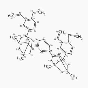 C=Cc1ccc(C23CC4(C)CC(C)(CC(c5cccc(C67CC8(C)CC(C)(C6)CC(c6ccc(C=C)c(C=C)c6)(C8)C7)c5)(C4)C2)C3)cc1C=C